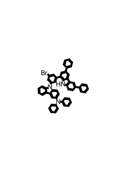 Brc1cc(-c2cc(-c3ccccc3)cc3c2[nH]c2ccc(-c4ccccc4)cc23)cc(-n2c3ccccc3c3cc(N(c4ccccc4)c4ccccc4)ccc32)c1